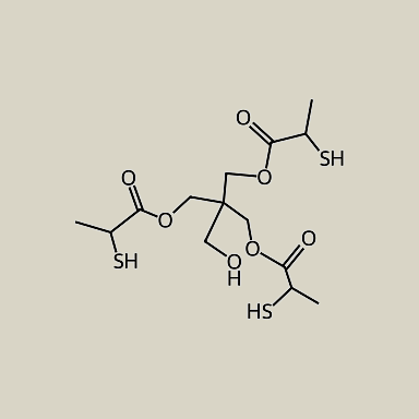 CC(S)C(=O)OCC(CO)(COC(=O)C(C)S)COC(=O)C(C)S